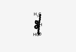 C1CCC(NC2CCCCC2)CC1.CCCCCCCCCCCCCCCCCC(=O)O